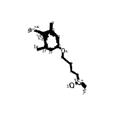 Cc1cc(OCCCC[S+](C)[O-])cc(C)c1Br